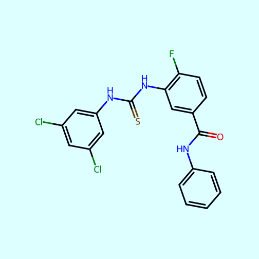 O=C(Nc1ccccc1)c1ccc(F)c(NC(=S)Nc2cc(Cl)cc(Cl)c2)c1